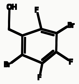 OCc1c(F)c(Br)c(F)c(F)c1Br